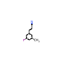 Cc1cc(I)cc(C=CC#N)c1